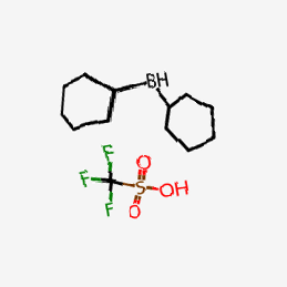 B(C1CCCCC1)C1CCCCC1.O=S(=O)(O)C(F)(F)F